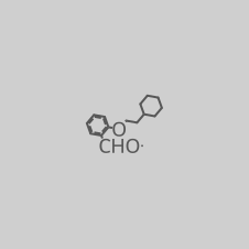 O=[C]c1ccccc1OCCC1CCCCC1